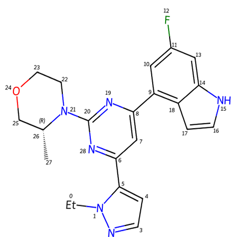 CCn1nccc1-c1cc(-c2cc(F)cc3[nH]ccc23)nc(N2CCOC[C@H]2C)n1